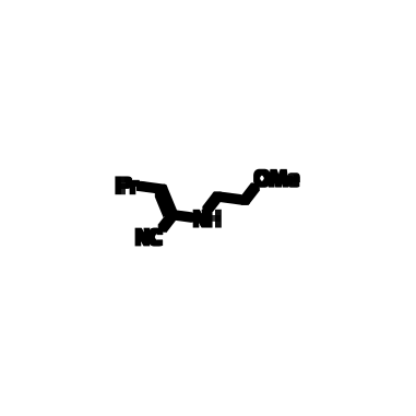 COCCNC(C#N)=CC(C)C